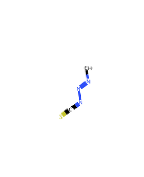 [CH]N=NN=C=S